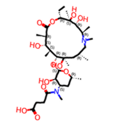 CC[C@H]1OC(=O)[C@H](C)[C@@H](O)[C@H](C)[C@@H](O[C@@H]2O[C@H](C)C[C@H](N(C)C(=O)CCC(=O)O)[C@H]2O)[C@](C)(O)C[C@@H](C)CN(C)[C@H](C)[C@@H](O)[C@]1(C)O